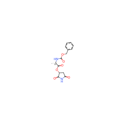 C[C@H](NC(=O)OCc1ccccc1)C(=O)OC1CC(=O)NC1=O